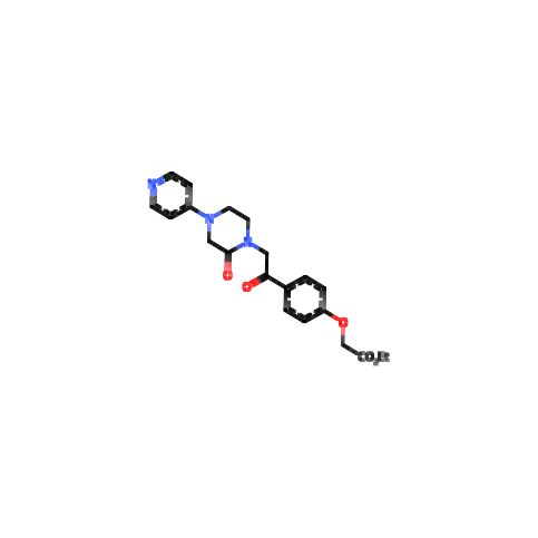 CCOC(=O)COc1ccc(C(=O)CN2CCN(c3ccncc3)CC2=O)cc1